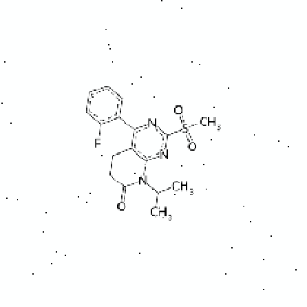 CC(C)N1C(=O)CCc2c(-c3ccccc3F)nc(S(C)(=O)=O)nc21